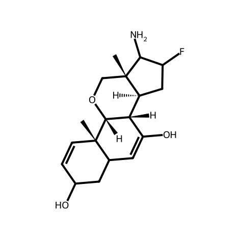 C[C@]12C=CC(O)CC1C=C(O)[C@@H]1[C@H]2OC[C@]2(C)C(N)C(F)C[C@@H]12